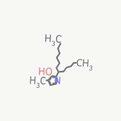 CCCCCCCC(CCCCC)c1nccc(C)c1O